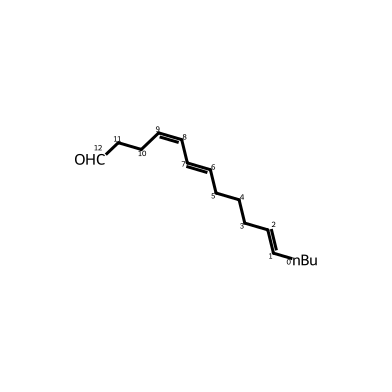 CCCC/C=C/CCC/C=C/C=C\CCC=O